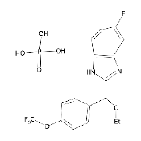 CCOC(c1ccc(OC(F)(F)F)cc1)c1nc2cc(F)ccc2[nH]1.O=P(O)(O)O